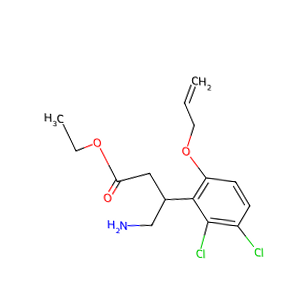 C=CCOc1ccc(Cl)c(Cl)c1C(CN)CC(=O)OCC